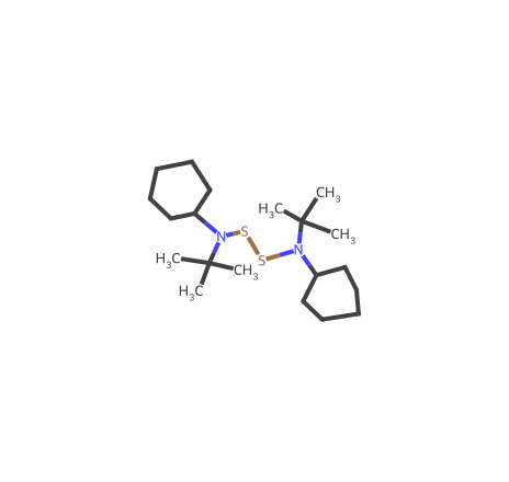 CC(C)(C)N(SSN(C1CCCCC1)C(C)(C)C)C1CCCCC1